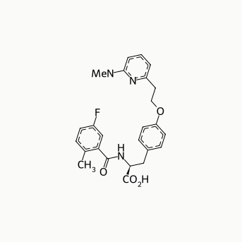 CNc1cccc(CCOc2ccc(C[C@H](NC(=O)c3cc(F)ccc3C)C(=O)O)cc2)n1